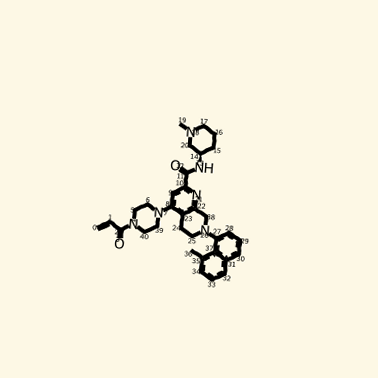 C=CC(=O)N1CCN(c2cc(C(=O)N[C@@H]3CCCN(C)C3)nc3c2CCN(c2cccc4cccc(C)c24)C3)CC1